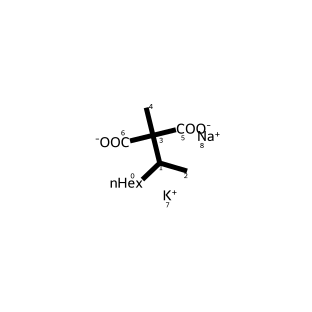 CCCCCCC(C)C(C)(C(=O)[O-])C(=O)[O-].[K+].[Na+]